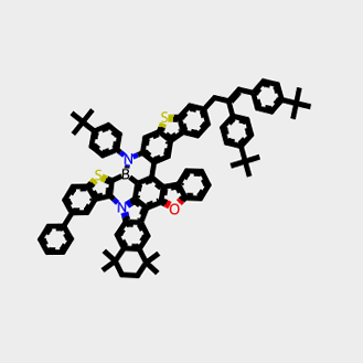 CC(C)(C)c1ccc(/C=C(/Cc2ccc3c(c2)sc2cc4c(cc23)-c2c3c5c(c6cc7c(cc6n5-c5c(sc6ccc(-c8ccccc8)cc56)B3N4c3ccc(C(C)(C)C)cc3)C(C)(C)CCC7(C)C)c3oc4ccccc4c23)c2ccc(C(C)(C)C)cc2)cc1